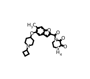 Cc1cc2oc(C(=O)N3CC[SH4]C(=O)C3=O)cc2cc1OC1CCN(C2CCC2)CC1